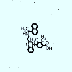 Cc1c(C(=O)O)ccc(N2CC(CCN[C@H](C)c3cccc4ccccc34)Oc3ccccc32)c1C